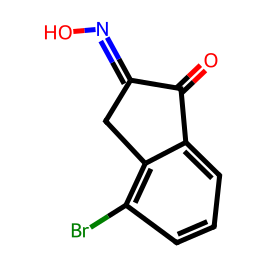 O=C1/C(=N/O)Cc2c(Br)cccc21